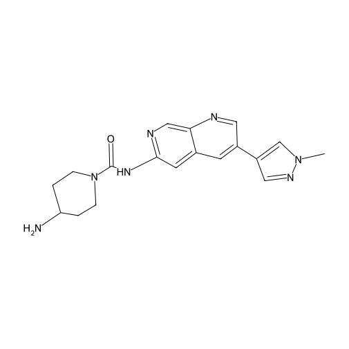 Cn1cc(-c2cnc3cnc(NC(=O)N4CCC(N)CC4)cc3c2)cn1